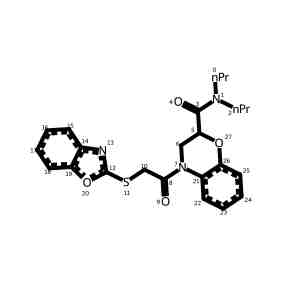 CCCN(CCC)C(=O)C1CN(C(=O)CSc2nc3ccccc3o2)c2ccccc2O1